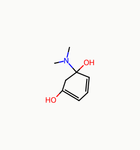 CN(C)C1(O)C=CC=C(O)C1